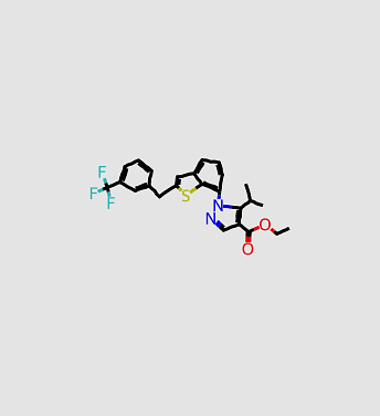 CCOC(=O)c1cnn(-c2cccc3cc(Cc4cccc(C(F)(F)F)c4)sc23)c1C(C)C